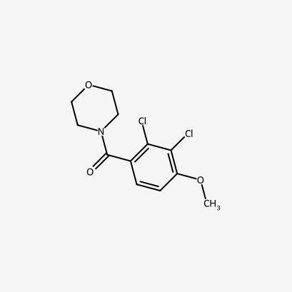 COc1ccc(C(=O)N2CCOCC2)c(Cl)c1Cl